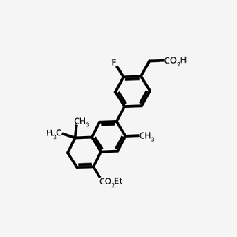 CCOC(=O)C1=CCC(C)(C)c2cc(-c3ccc(CC(=O)O)c(F)c3)c(C)cc21